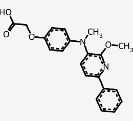 COc1nc(-c2ccccc2)ccc1N(C)c1ccc(OCC(=O)O)cc1